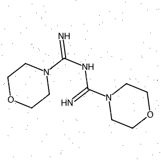 N=C(NC(=N)N1CCOCC1)N1CCOCC1